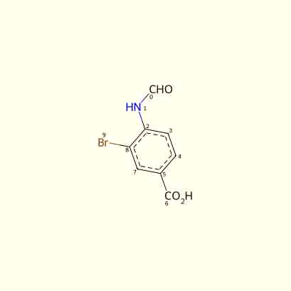 O=CNc1ccc(C(=O)O)cc1Br